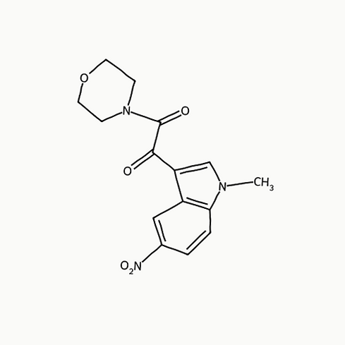 Cn1cc(C(=O)C(=O)N2CCOCC2)c2cc([N+](=O)[O-])ccc21